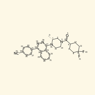 C[C@@H]1CN(C(=O)C2CCC(F)(F)CC2)CCN1c1nnc(-c2ccc(C#N)cc2)c2ccccc12